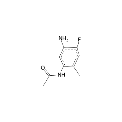 CC(=O)Nc1cc(N)c(F)cc1C